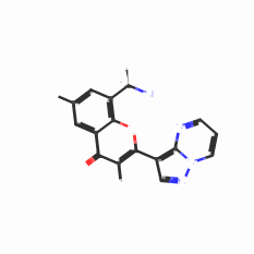 Cc1cc([C@@H](C)N)c2oc(-c3cnn4cccnc34)c(C)c(=O)c2c1